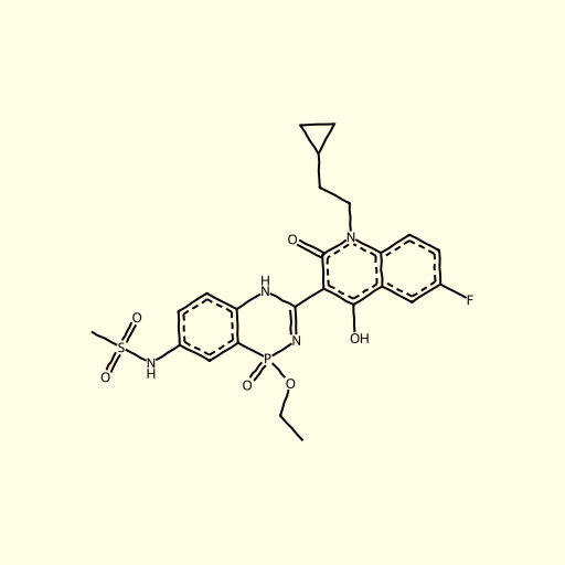 CCOP1(=O)N=C(c2c(O)c3cc(F)ccc3n(CCC3CC3)c2=O)Nc2ccc(NS(C)(=O)=O)cc21